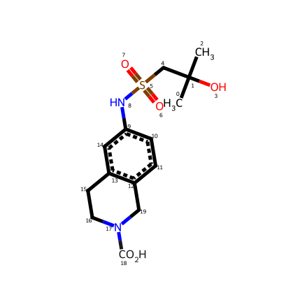 CC(C)(O)CS(=O)(=O)Nc1ccc2c(c1)CCN(C(=O)O)C2